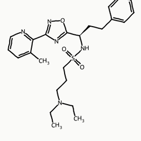 CCN(CC)CCCS(=O)(=O)N[C@H](CCc1ccccc1)c1nc(-c2ncccc2C)no1